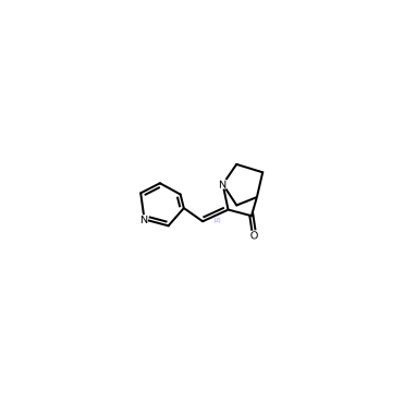 O=C1/C(=C/c2cccnc2)N2CCC1C2